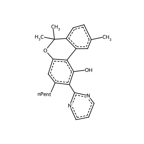 CCCCCc1cc2c(c(O)c1-c1ncccn1)-c1cc(C)ccc1C(C)(C)O2